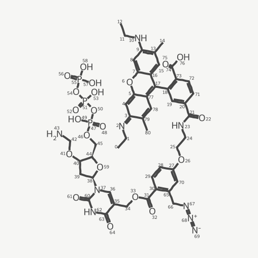 CC/N=c1/cc2oc3cc(NCC)c(C)cc3c(-c3cc(C(=O)NCCOc4ccc(C(=O)OCc5cn([C@H]6CC(OCN)[C@@H](COP(=O)(O)OP(=O)(O)OP(=O)(O)O)O6)c(=O)[nH]c5=O)c(CN=[N+]=[N-])c4)ccc3C(=O)O)c-2cc1C